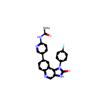 CNC(=O)Nc1ccc(-c2ccc3ncc4[nH]c(=O)n(-c5ccc(F)cc5)c4c3c2)cn1